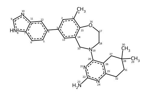 Cc1cc(-c2ccc3[nH]cnc3c2)cc2c1OCCN(c1nc(N)nc3c1CC(C)(C)CC3)C2